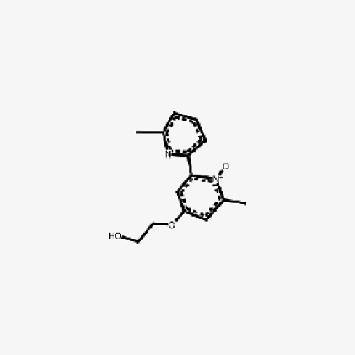 Cc1cccc(-c2cc(OCCO)cc(C)[n+]2[O-])n1